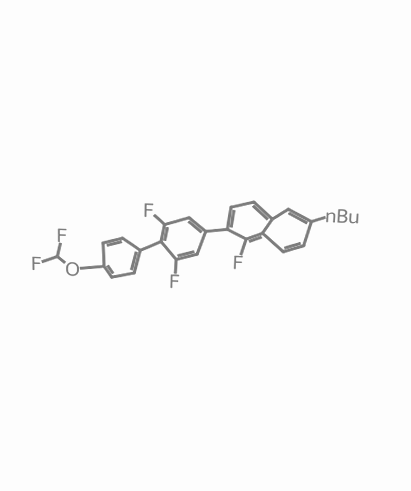 CCCCc1ccc2c(F)c(-c3cc(F)c(-c4ccc(OC(F)F)cc4)c(F)c3)ccc2c1